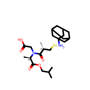 CC(C)COC(=O)[C@@H](C)N(CC(=O)O)C(=O)[C@H](C)CS.NC12CC3CC(CC(C3)C1)C2